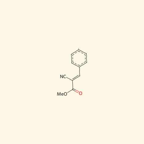 COC(=O)/C(C#N)=C/c1cc[c]cc1